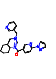 CN(Cc1cccnc1)C[C@@H]1CCCC[C@H]1NC(=O)c1ccc(-n2cccn2)nc1